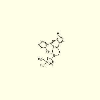 Cc1ccccc1-c1nc2[nH]ncc2c2c1CN(C(=O)OC(C)(C)C)CC2